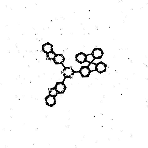 c1ccc2c(c1)-c1ccccc1C21c2ccccc2-c2ccc(-c3nc(-c4ccc5c(c4)oc4ccccc45)nc(-c4ccc5c(c4)oc4ccccc45)n3)cc21